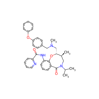 CC(C)N1C[C@H](C)[C@@H](CN(C)Cc2ccc(Oc3ccccc3)cc2)Oc2c(NC(=O)c3ccccn3)cccc2C1=O